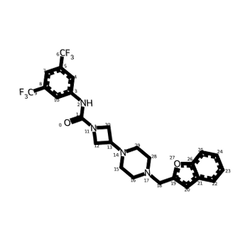 O=C(Nc1cc(C(F)(F)F)cc(C(F)(F)F)c1)N1CC(N2CCN(Cc3cc4ccccc4o3)CC2)C1